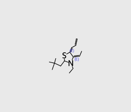 C=C/C=C1/SC(CC(C)(C)C)N(CC)/C1=C/C